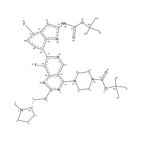 CN1CCC[C@H]1COc1nc(N2CCN(C(=O)OC(C)(C)C)CC2)c2cnc(-c3ccc(F)c4sc(NC(=O)OC(C)(C)C)nc34)c(F)c2n1